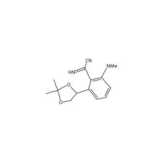 CNc1cccc(C2COC(C)(C)O2)c1C(=N)C#N